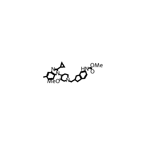 COC(=O)Nc1ccc2c(c1)CC(CN1CC[C@H](n3c(C4CC4)nc4cc(C)ccc43)[C@@H](OC)C1)C2